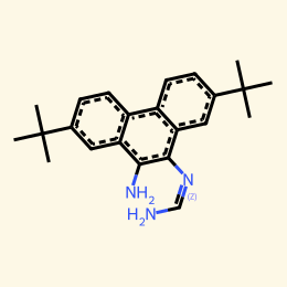 CC(C)(C)c1ccc2c(c1)c(N)c(/N=C\N)c1cc(C(C)(C)C)ccc12